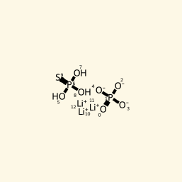 O=P([O-])([O-])[O-].OP(O)(O)=S.[Li+].[Li+].[Li+]